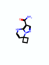 NC(=O)c1cnn2c1NC=CC21CCC1